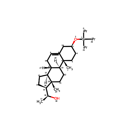 CC(C)[Si](O[C@H]1CC[C@@]2(C)C(=CC[C@H]3[C@@H]4CC[C@H]([C@H](C)O)[C@@]4(C)CC[C@@H]32)C1)(C(C)C)C(C)C